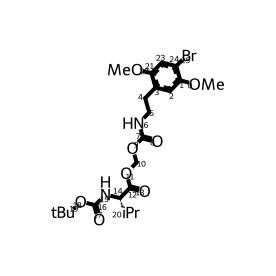 COc1cc(CCNC(=O)OCOC(=O)[C@@H](NC(=O)OC(C)(C)C)C(C)C)c(OC)cc1Br